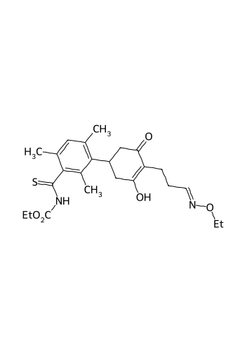 CCON=CCCC1=C(O)CC(c2c(C)cc(C)c(C(=S)NC(=O)OCC)c2C)CC1=O